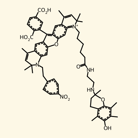 CC1=CC(C)(C)N(CCc2ccc([N+](=O)[O-])cc2)c2cc3c(cc21)C(c1cc(C(=O)O)ccc1C(=O)O)=c1cc2c(cc1O3)=[N+](CCCCCC(=O)NCCNC1(C)CCc3c(C)c(O)c(C)c(C)c3O1)C(C)(C)C=C2C